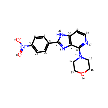 O=[N+]([O-])c1ccc(-c2nc3c(N4CCOCC4)nccc3[nH]2)cc1